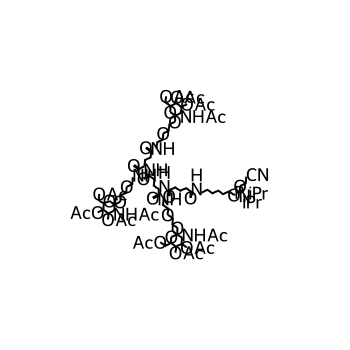 CC(=O)NC1C(OCCOCCNC(=O)CCC(NC(=O)CCC(NC(=O)CCCC(=O)NCCCCCCOP(OCCC#N)N(C(C)C)C(C)C)C(=O)NCCOCCOC2OC(COC(C)=O)C(OC(C)=O)C(OC(C)=O)C2NC(C)=O)C(=O)NCCOCCOC2OC(COC(C)=O)C(OC(C)=O)C(OC(C)=O)C2NC(C)=O)OC(COC(C)=O)C(OC(C)=O)C1OC(C)=O